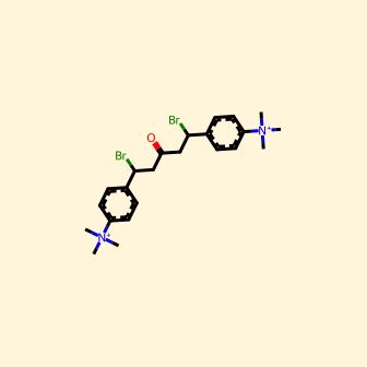 C[N+](C)(C)c1ccc(C(Br)CC(=O)CC(Br)c2ccc([N+](C)(C)C)cc2)cc1